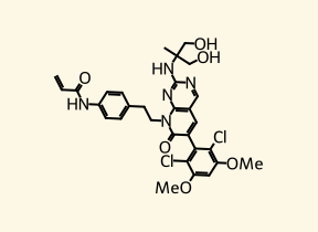 C=CC(=O)Nc1ccc(CCn2c(=O)c(-c3c(Cl)c(OC)cc(OC)c3Cl)cc3cnc(NC(C)(CO)CO)nc32)cc1